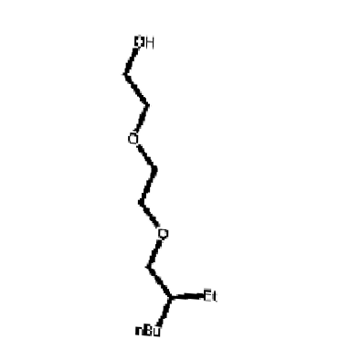 CCCCC(CC)COCCOCCO